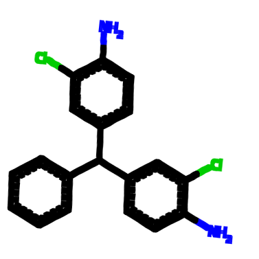 Nc1ccc(C(c2ccccc2)c2ccc(N)c(Cl)c2)cc1Cl